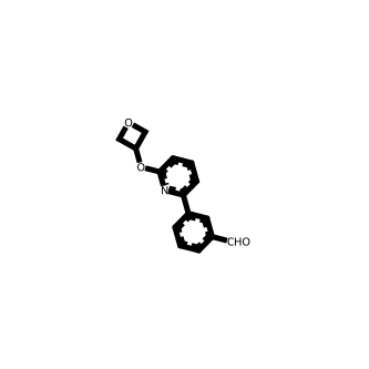 O=Cc1cccc(-c2cccc(OC3COC3)n2)c1